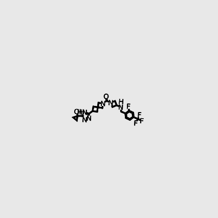 O=C(N1CC(NCc2ccc(C(F)(F)F)cc2F)C1)N1CC2(CC(c3nnc(C4(O)CC4)[nH]3)C2)C1